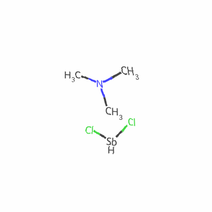 CN(C)C.[Cl][SbH][Cl]